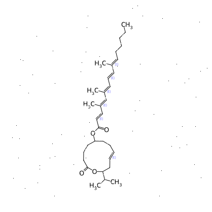 CCCCC/C=C(C)/C=C/C=C(C)/C=C(C)/C=C/C(=O)OC1CC/C=C/CC(C(C)C)OC(=O)CCC1